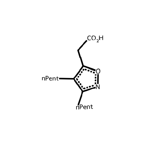 CCCCCc1noc(CC(=O)O)c1CCCCC